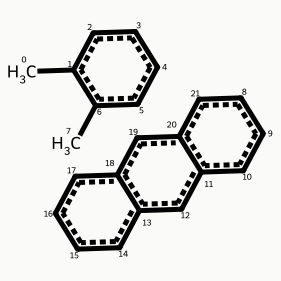 Cc1ccccc1C.c1ccc2cc3ccccc3cc2c1